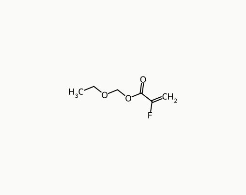 C=C(F)C(=O)OCOCC